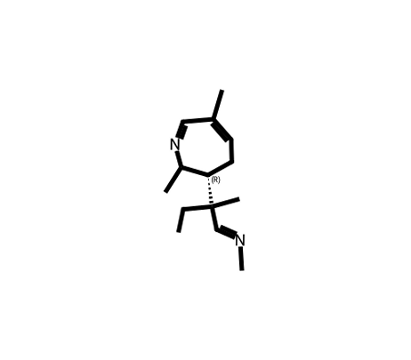 CCC(C)(C=NC)[C@H]1CC=C(C)C=NC1C